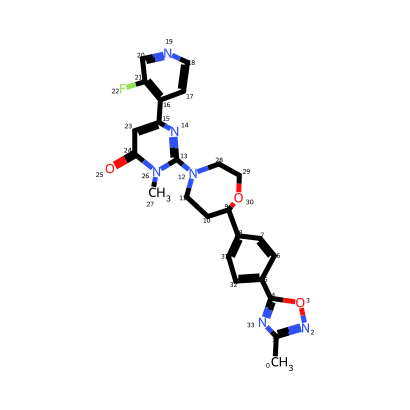 Cc1noc(-c2ccc(C3CCN(c4nc(-c5ccncc5F)cc(=O)n4C)CCO3)cc2)n1